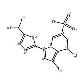 O=S(=O)(Cl)c1cc(Cl)c2c(I)cc(-c3nnc(C(F)F)s3)n2c1